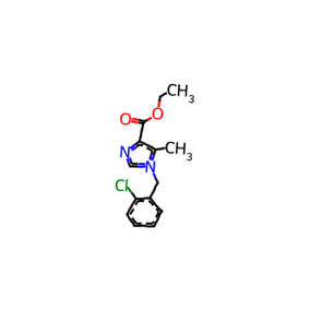 CCOC(=O)c1ncn(Cc2ccccc2Cl)c1C